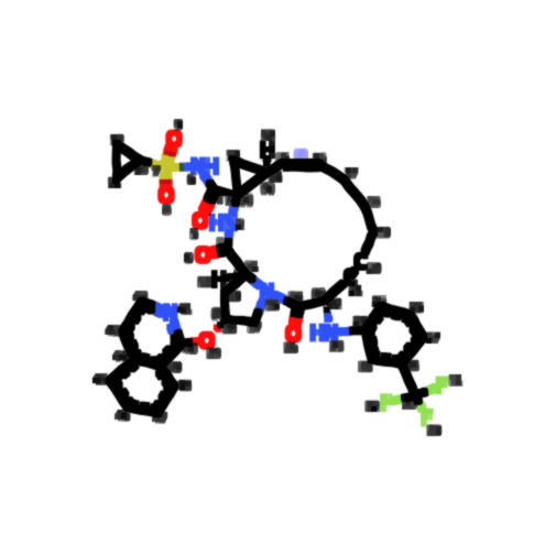 O=C1N[C@]2(C(=O)NS(=O)(=O)C3CC3)C[C@H]2/C=C\CCCCC[C@H](Nc2cccc(C(F)(F)F)c2)C(=O)N2C[C@H](Oc3nccc4ccccc34)C[C@@H]12